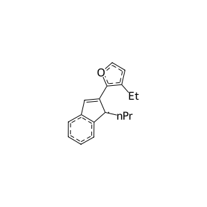 CCC[C]1C(c2occc2CC)=Cc2ccccc21